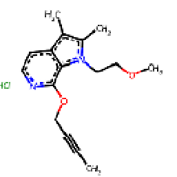 CC#CCOc1nccc2c(C)c(C)n(CCOC)c12.Cl